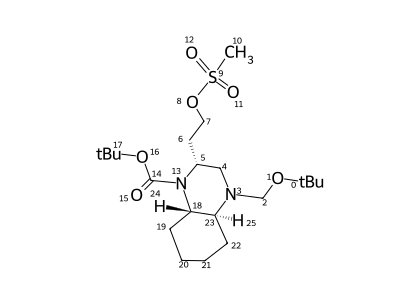 CC(C)(C)OCN1C[C@@H](CCOS(C)(=O)=O)N(C(=O)OC(C)(C)C)[C@H]2CCCC[C@@H]21